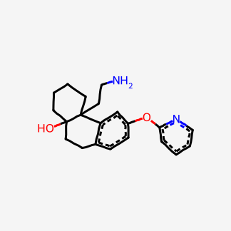 NCCC12CCCCC1(O)CCc1ccc(Oc3ccccn3)cc12